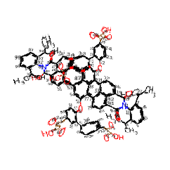 CC(C)c1cccc(C(C)C)c1N1C(=O)c2ccc3c4c(Oc5ccc(S(=O)(=O)O)cc5-c5ccc(S(=O)(=O)O)cc5)cc5c6ccc7c8c(ccc(c9cc(Oc%10ccc(S(=O)(=O)O)cc%10-c%10ccc(S(=O)(=O)O)cc%10)c(c%10ccc(c2c3%10)C1=O)c4c59)c86)C(O)N(c1c(C(C)C)cccc1C(C)C)C7=O